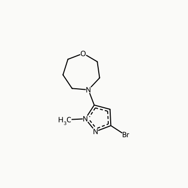 Cn1nc(Br)cc1N1CCCOCC1